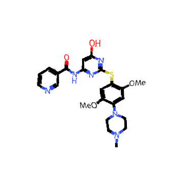 COc1cc(N2CCN(C)CC2)c(OC)cc1Sc1nc(O)cc(NC(=O)c2cccnc2)n1